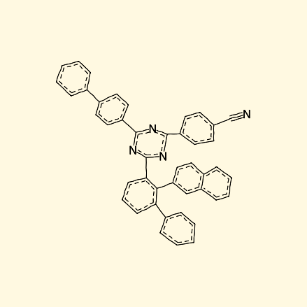 N#Cc1ccc(-c2nc(-c3ccc(-c4ccccc4)cc3)nc(-c3cccc(-c4ccccc4)c3-c3ccc4ccccc4c3)n2)cc1